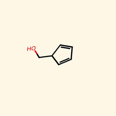 OCC1C=CC=C1